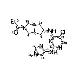 CCC(=O)N1CC2CC(Nc3nc(Nc4cn(C)cn4)ncc3Cl)CC2C1